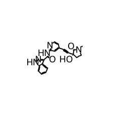 CN1CC[C@@](O)(C#Cc2ccnc(NC(=O)c3n[nH]c4ccccc34)c2)C1=O